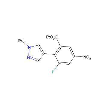 CCOC(=O)c1cc([N+](=O)[O-])cc(F)c1-c1cnn(C(C)C)c1